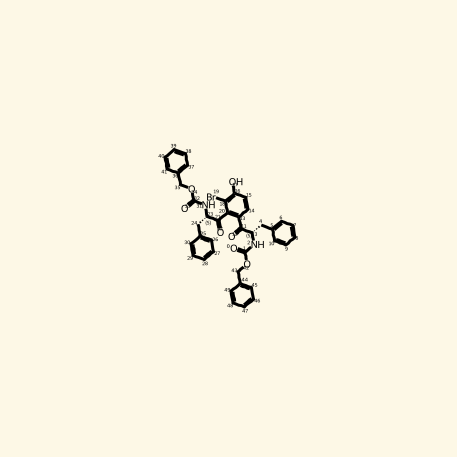 O=C(N[C@@H](Cc1ccccc1)C(=O)c1ccc(O)c(Br)c1C(=O)[C@H](Cc1ccccc1)NC(=O)OCc1ccccc1)OCc1ccccc1